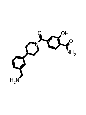 NCc1cccc(C2CCN(C(=O)c3ccc(C(N)=O)c(O)c3)CC2)c1